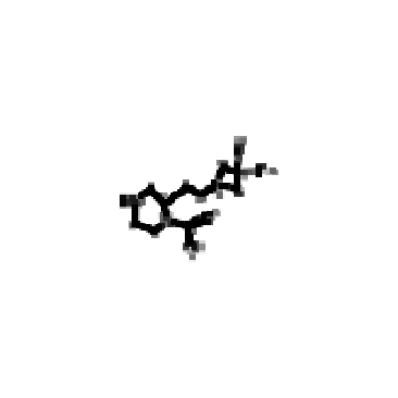 O=C(O)N1CCNCC1CCN1CC(F)(F)C1